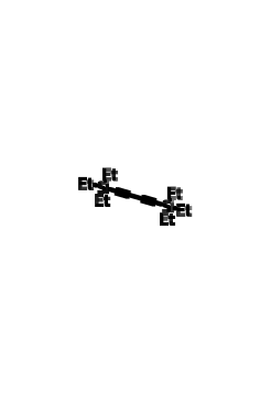 CC[Si](C#CC#C[Si](CC)(CC)CC)(CC)CC